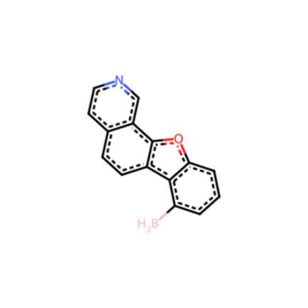 Bc1cccc2oc3c4cnccc4ccc3c12